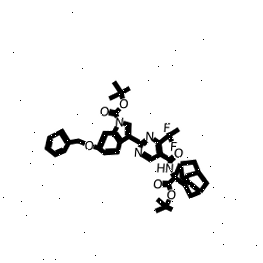 CC(C)(C)OC(=O)n1cc(-c2ncc(C(=O)NC3(C(=O)OC(C)(C)C)C4CC5CC(C4)CC3C5)c(C(C)(F)F)n2)c2ccc(OCc3ccccc3)cc21